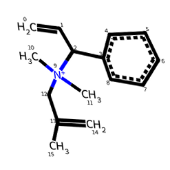 C=CC(c1ccccc1)[N+](C)(C)CC(=C)C